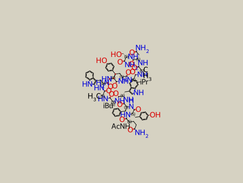 CC[C@H](C)[C@H](NC(=O)[C@H](Cc1c[nH]c2ccccc12)NC(=O)[C@H](Cc1ccccc1)NC(=O)[C@H](Cc1ccc(O)cc1)NC(=O)[C@H](CCC(N)=O)NC(C)=O)C(=O)N[C@@H](C)C(=O)N[C@@H](Cc1c[nH]c2ccccc12)C(=O)N[C@@H](Cc1ccc(O)cc1)C(=O)N[C@@H](CCCCN)C(=O)N[C@@H](CC(C)C)C(=O)N[C@@H](C)C(=O)N[C@@H](CC(N)=O)C(=O)N[C@@H](CO)C(N)=O